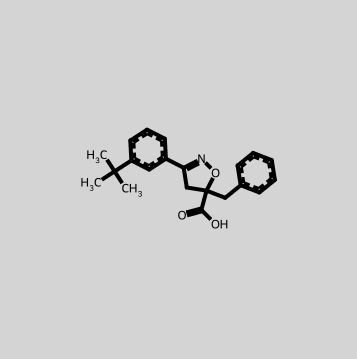 CC(C)(C)c1cccc(C2=NOC(Cc3ccccc3)(C(=O)O)C2)c1